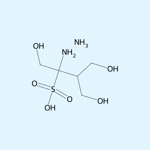 N.NC(CO)(C(CO)CO)S(=O)(=O)O